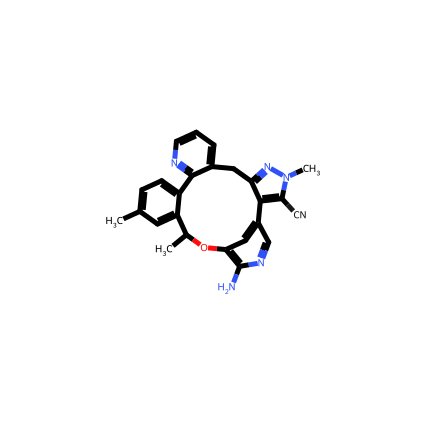 Cc1ccc2c(c1)C(C)Oc1cc(cnc1N)-c1c(nn(C)c1C#N)Cc1cccnc1-2